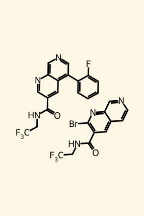 O=C(NCC(F)(F)F)c1cc2ccncc2nc1Br.O=C(NCC(F)(F)F)c1cnc2cncc(-c3ccccc3F)c2c1